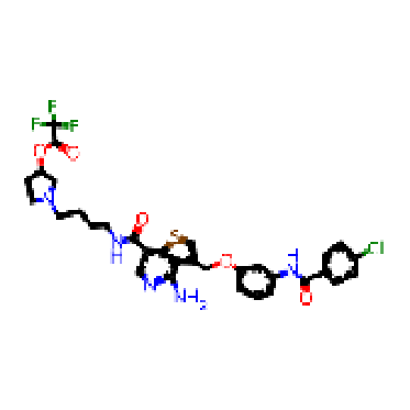 Nc1ncc(C(=O)NCCCCN2CCC(OC(=O)C(F)(F)F)C2)c2scc(COc3cccc(NC(=O)c4ccc(Cl)cc4)c3)c12